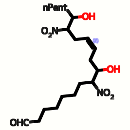 CCCCCC(O)C(C/C=C\CC(O)C(CCCCCCC=O)[N+](=O)[O-])[N+](=O)[O-]